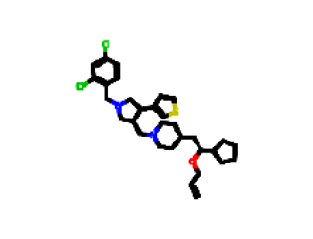 C=CCO[C@@H](CC1CCN(CC2CN(Cc3ccc(Cl)cc3Cl)CC2c2ccsc2)CC1)C1CCCC1